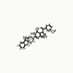 C=C(c1cccc(OC)n1)c1n[nH]c2nc(N3CCC4(CC3)Cc3ccccc3[C@H]4N)[nH]c(=O)c12